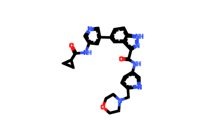 O=C(Nc1ccc(CN2CCOCC2)nc1)c1n[nH]c2ccc(-c3cncc(NC(=O)C4CC4)c3)cc12